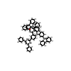 c1ccc(-c2cc(-c3ccccc3)nc(-c3ccc(-n4c5cc(-n6c7ccccc7c7ccccc76)ccc5c5ccc(-n6c7ccccc7c7ccccc76)cc54)c(-c4nc(-c5ccccc5)nc(-c5ccccc5)n4)c3)n2)cc1